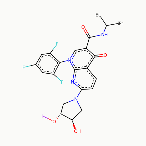 CCC(NC(=O)c1cn(-c2c(F)cc(F)cc2F)c2nc(N3C[C@@H](O)[C@H](OI)C3)ccc2c1=O)C(C)C